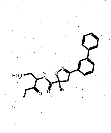 CC(C)C1(C(=O)NC(CC(=O)O)C(=O)CF)CC(c2cccc(-c3ccccc3)c2)=NO1